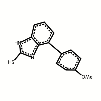 COc1ccc(-c2cccc3[nH]c(S)nc23)cc1